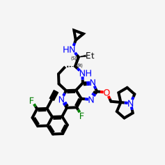 C#Cc1c(F)ccc2cccc(-c3nc4c5c(nc(OCC67CCCN6CCC7)nc5c3F)N[C@@H]([C@H](CC)NC3CC3)CCC4)c12